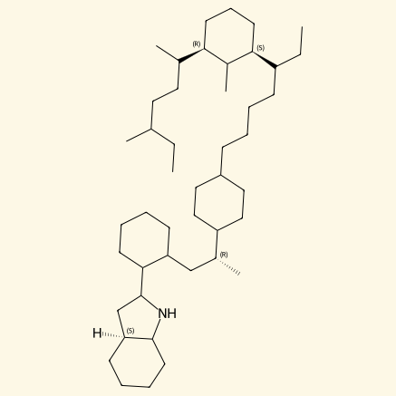 CCC(C)CCC(C)[C@H]1CCC[C@@H](C(CC)CCCCC2CCC([C@H](C)CC3CCCCC3C3C[C@@H]4CCCCC4N3)CC2)C1C